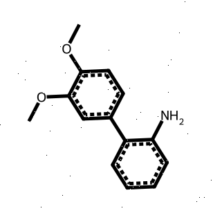 COc1ccc(-c2ccccc2N)cc1OC